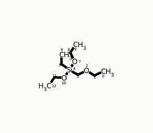 CCOC[Si](CC)(OCC)OCC